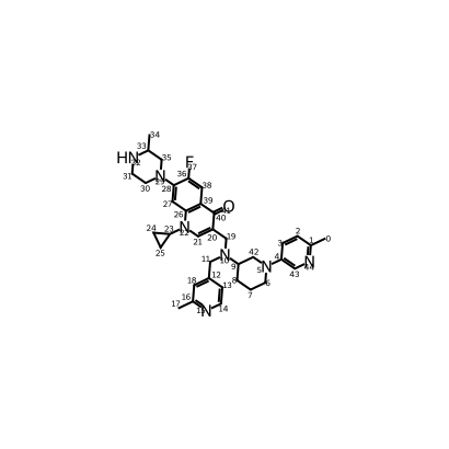 Cc1ccc(N2CCCC(N(Cc3ccnc(C)c3)Cc3cn(C4CC4)c4cc(N5CCNC(C)C5)c(F)cc4c3=O)C2)cn1